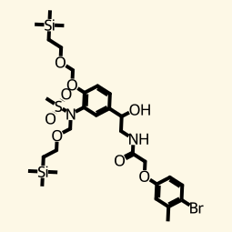 Cc1cc(OCC(=O)NCC(O)c2ccc(OCOCC[Si](C)(C)C)c(N(COCC[Si](C)(C)C)S(C)(=O)=O)c2)ccc1Br